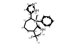 C[N+]1(c2ccccc2)C(=N)C(C(F)(F)F)CCCC1c1ccn[nH]1